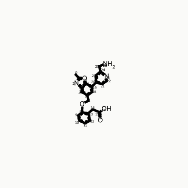 Cc1nc2cc(COc3ccccc3CC(=O)O)cc(-c3ccnc(CN)c3)c2o1